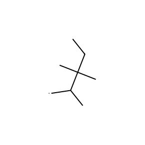 [CH2]C(C)C(C)(C)CC